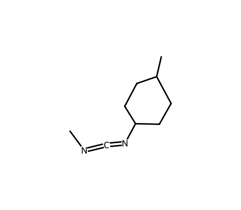 CN=C=NC1CCC(C)CC1